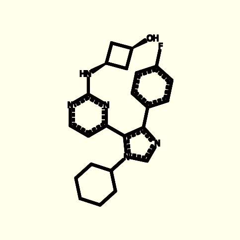 O[C@H]1C[C@@H](Nc2nccc(-c3c(-c4ccc(F)cc4)ncn3C3CCCCC3)n2)C1